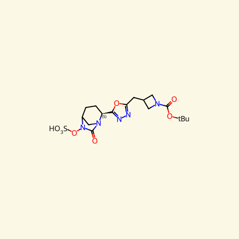 CC(C)(C)OC(=O)N1CC(Cc2nnc([C@@H]3CCC4CN3C(=O)N4OS(=O)(=O)O)o2)C1